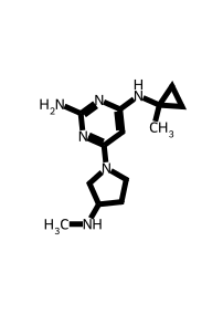 CNC1CCN(c2cc(NC3(C)CC3)nc(N)n2)C1